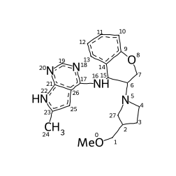 COCC1CCN(C2COc3ccccc3C2Nc2ncnc3[nH]c(C)cc23)C1